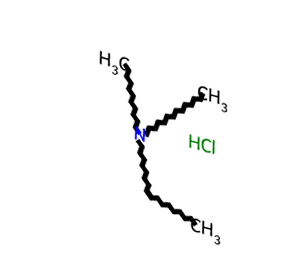 CCCCCCCC/C=C\CCCCCCCCN(CCCCCCCCCCC)CCCCCCCCCCCCCC.Cl